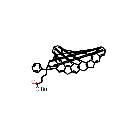 CC(C)COC(=O)CCCC1(c2ccccc2)C2c3cc4c5c6c(cc7c8c9c%10c%11c(cc%12cc%13c%14c(c%15c3c5c3c%15c5c%14c%12c%11c5c9c3c68)C21C=%13)CC=%10C7)C4